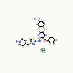 Cl.Cl.N#Cc1ccc(Sc2cnc(Nc3nc(CC4CCNCC4)cs3)c(Oc3ccccc3)c2)cc1